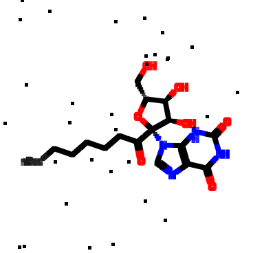 CCCCCCCCCCCCCCCC(=O)[C@@]1(n2cnc3c(=O)[nH]c(=O)[nH]c32)O[C@H](CO)[C@@H](O)[C@H]1O